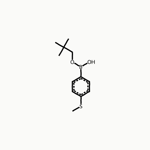 CSc1ccc(B(O)OCC(C)(C)C)cc1